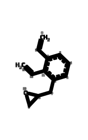 C=Cc1cccc(CC2CO2)c1C=C